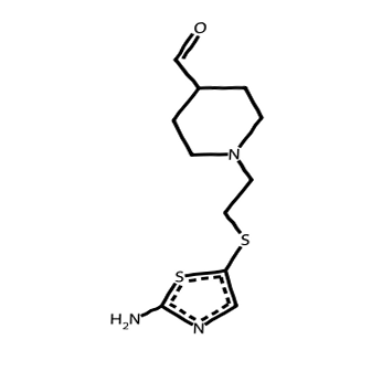 Nc1ncc(SCCN2CCC(C=O)CC2)s1